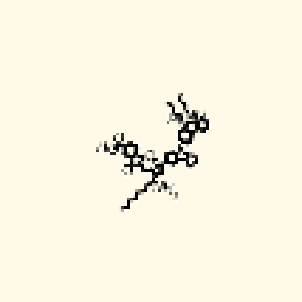 CCCCCCCC(N)c1cc(-c2ccc3c(c2)C2CCCC2N3c2ccc3c(c2)-c2ccccc2C3(NCCCC)NCCCC)sc1/C=C1\C(=O)c2ccc(C(=O)O)cc2C1=O